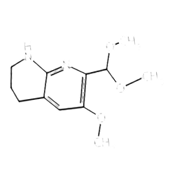 COc1cc2c(nc1C(OC)OC)NCCC2